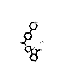 Cl.O=C1O[C@]2(CCN(C(=O)c3ccc(C4CCNCC4)cc3)C2)c2ccccc21